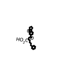 O=C(C[C@@H](CCCCc1ccccc1)C(=O)O)c1ccc2c3c(oc2c1)CCC3